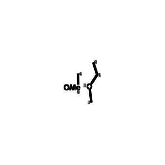 CCOC.COC